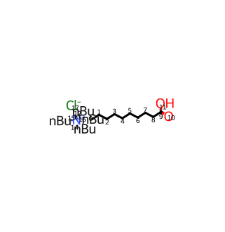 CCCCCCCCCC(=O)O.CCCC[N+](CCCC)(CCCC)CCCC.[Cl-]